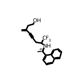 C=C(C#CCC(N[C@H](C)c1cccc2ccccc12)C(F)(F)F)CCO